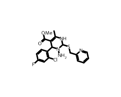 COC(=O)C1=C(C)NC(SCc2ccccn2)N(N)C1c1ccc(F)cc1Cl